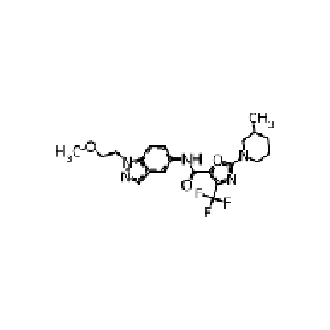 COCCn1ncc2cc(NC(=O)c3oc(N4CCCC(C)C4)nc3C(F)(F)F)ccc21